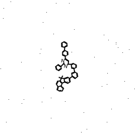 CC1(C)c2cc(-c3cccc(-c4cccc(-c5cc(-c6ccc(-c7ccccc7)cc6)nc(-c6ccccc6)n5)c4)c3)ccc2-c2c1ccc1ccccc21